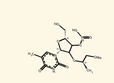 COC[C@@H](C)OC1C(O[PH](=O)O)[C@@H](CO)O[C@H]1n1cc(C)c(=O)[nH]c1=O